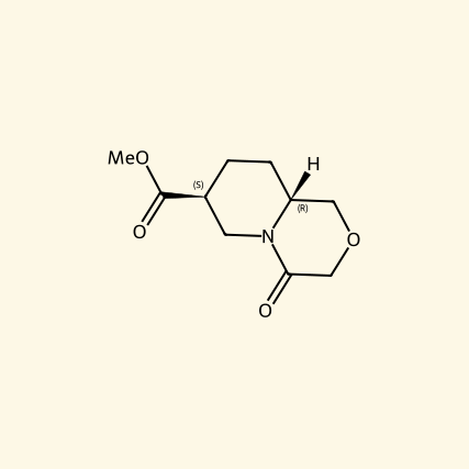 COC(=O)[C@H]1CC[C@@H]2COCC(=O)N2C1